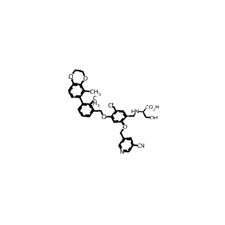 Cc1c(COc2cc(OCc3cncc(C#N)c3)c(CNC(CO)C(=O)O)cc2Cl)cccc1-c1ccc2c(c1C)OCCO2